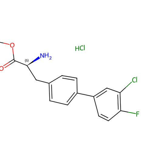 COC(=O)[C@@H](N)Cc1ccc(-c2ccc(F)c(Cl)c2)cc1.Cl